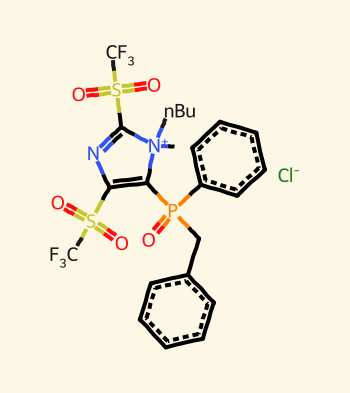 CCCC[N+]1(C)C(S(=O)(=O)C(F)(F)F)=NC(S(=O)(=O)C(F)(F)F)=C1P(=O)(Cc1ccccc1)c1ccccc1.[Cl-]